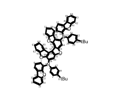 CC(C)(C)c1ccc(N(c2cccc3c2oc2ccccc23)c2cc3oc4cc(N(c5ccc(C(C)(C)C)cc5)c5cccc6c5oc5ccccc56)c5c6ccccc6oc5c4c3c3c2oc2ccccc23)cc1